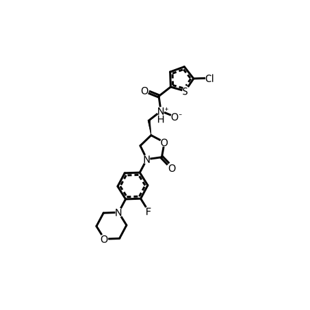 O=C1O[C@H](C[NH+]([O-])C(=O)c2ccc(Cl)s2)CN1c1ccc(N2CCOCC2)c(F)c1